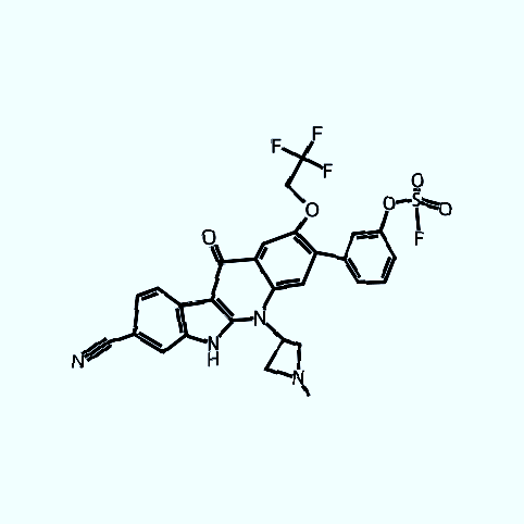 CN1CC(n2c3cc(-c4cccc(OS(=O)(=O)F)c4)c(OCC(F)(F)F)cc3c(=O)c3c4ccc(C#N)cc4[nH]c32)C1